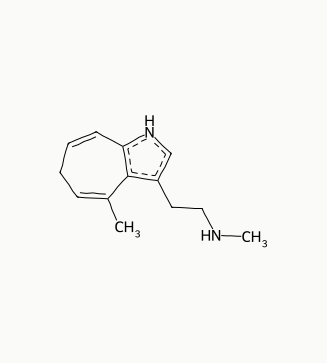 CNCCc1c[nH]c2c1C(C)=CCC=C2